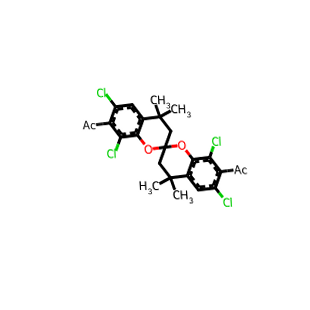 CC(=O)c1c(Cl)cc2c(c1Cl)OC1(CC2(C)C)CC(C)(C)c2cc(Cl)c(C(C)=O)c(Cl)c2O1